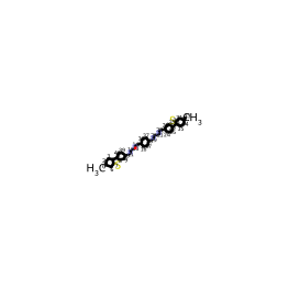 Cc1ccc2c(c1)sc1cc(/C=C/C=C/c3ccc(/C=C/C=C/c4ccc5c(c4)sc4cc(C)ccc45)cc3)ccc12